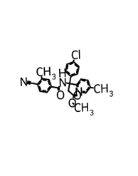 COC(=O)CC(NC(=O)c1ccc(C#N)c(C)c1)(c1ccc(Cl)cc1)c1ccc(C)cn1